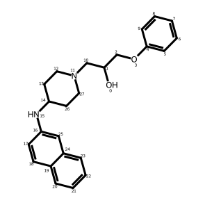 OC(COc1ccccc1)CN1CCC(Nc2ccc3ccccc3c2)CC1